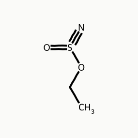 CCOS(#N)=O